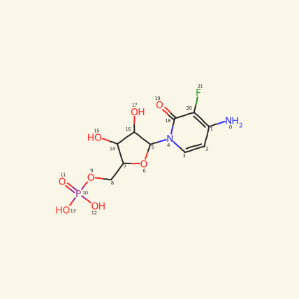 Nc1ccn(C2OC(COP(=O)(O)O)C(O)C2O)c(=O)c1F